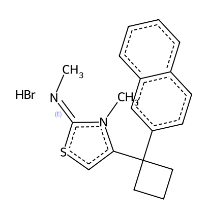 Br.C/N=c1/scc(C2(c3ccc4ccccc4c3)CCC2)n1C